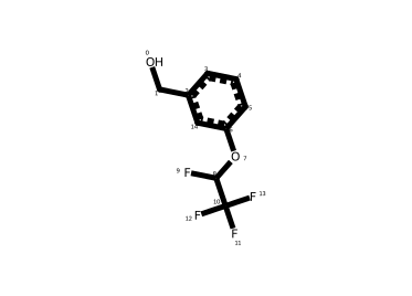 OCc1cccc(OC(F)C(F)(F)F)c1